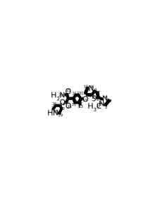 Cn1ccnc1-c1cc2nccc(Oc3ccc(C(C(N)=O)C(=O)OC4CCNCC4)cc3F)c2s1